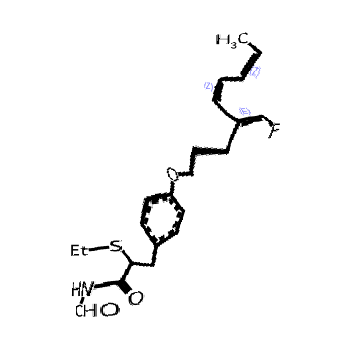 C\C=C/C=C\C(=C\F)CCCOc1ccc(CC(SCC)C(=O)NC=O)cc1